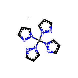 [Ir+].c1cnn([B-](n2cccn2)(n2cccn2)n2cccn2)c1